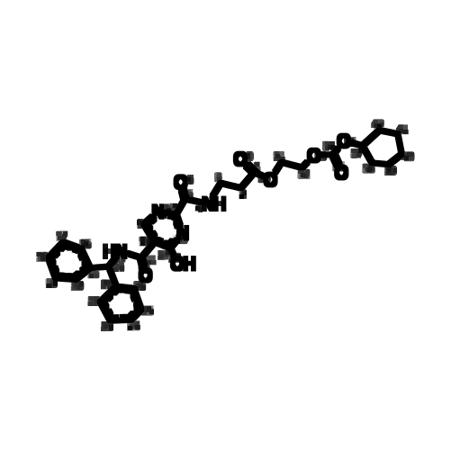 O=C(CCNC(=O)c1ncc(C(=O)NC(c2ccccc2)c2ccccc2)c(O)n1)OCCOC(=O)OC1CCCCC1